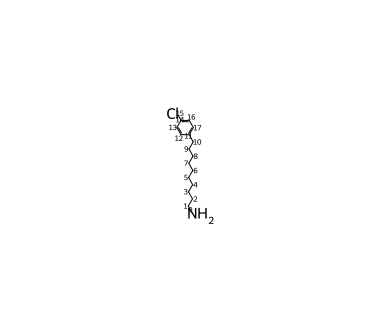 NCCCCCCCCCCc1ccc(Cl)cc1